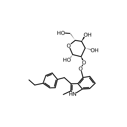 CCc1ccc(Cc2c(C)[nH]c3cccc(OO[C@@H]4[C@@H](O)[C@H](O)[C@@H](CO)O[C@H]4O)c23)cc1